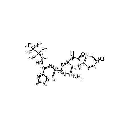 CC1(c2ccc(Cl)cc2)C(=O)Nc2nc(-c3cn4ccnc4c(NCC(F)(F)C(F)(F)F)n3)nc(N)c21